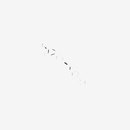 CC[C@H]1CC[C@H](C=CC#C[C@H]2CC[C@H](c3ccc(C#N)c(F)c3)CC2)CC1